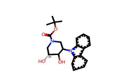 CC(C)(C)OC(=O)N1CC(n2c3ccccc3c3ccccc32)C(O)[C@H](O)C1